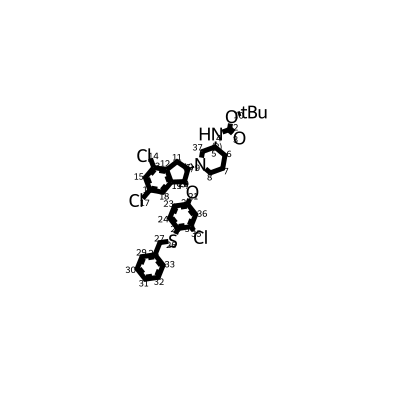 CC(C)(C)OC(=O)N[C@@H]1CCCN([C@H]2Cc3c(Cl)cc(Cl)cc3[C@@H]2Oc2ccc(SCc3ccccc3)c(Cl)c2)C1